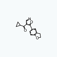 O=C(c1cnoc1-c1ccc2c(c1)CCO2)C1CC1